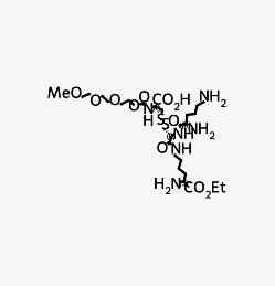 CCOC(=O)[C@@H](N)CCCCNC(=O)[C@H](CSSC[C@H](NC(=O)OCCOCCOCCOC)C(=O)O)NC(=O)[C@H](N)CCCCN